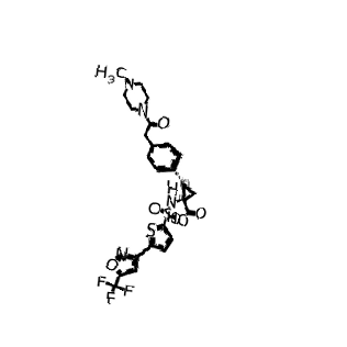 CN1CCN(C(=O)Cc2ccc([C@@H]3C[C@]3(NS(=O)(=O)c3ccc(-c4cc(C(F)(F)F)on4)s3)C(=O)O)cc2)CC1